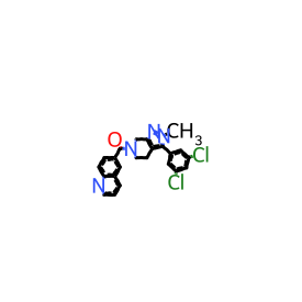 Cn1nc2c(c1-c1cc(Cl)cc(Cl)c1)CCN(C(=O)c1ccc3ncccc3c1)C2